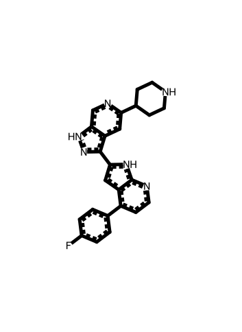 Fc1ccc(-c2ccnc3[nH]c(-c4n[nH]c5cnc(C6CCNCC6)cc45)cc23)cc1